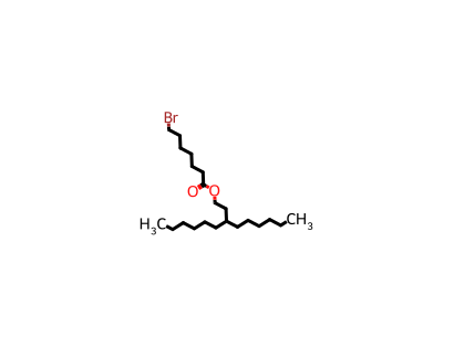 CCCCCCC(CCCCCC)CCOC(=O)CCCCCCBr